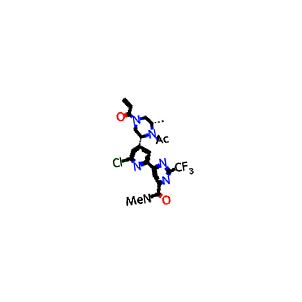 C=CC(=O)N1C[C@H](C)N(C(C)=O)[C@H](c2cc(Cl)nc(-c3cc(C(=O)NC)nc(C(F)(F)F)n3)c2)C1